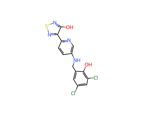 Oc1nsnc1-c1ccc(NCc2cc(Cl)cc(Cl)c2O)cn1